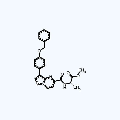 COC(=O)[C@H](C)NC(=O)c1ccn2ncc(-c3ccc(OCc4ccccc4)cc3)c2n1